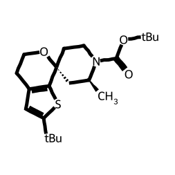 C[C@H]1C[C@@]2(CCN1C(=O)OC(C)(C)C)OCCc1cc(C(C)(C)C)sc12